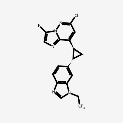 Fc1cnc2c([C@H]3C[C@@H]3c3ccc4ncn(CC(F)(F)F)c4c3)cc(Cl)nn12